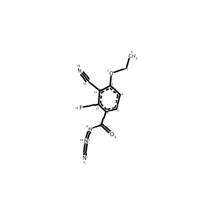 CCOc1ccc(C(=O)N=[N+]=[N-])c(F)c1C#N